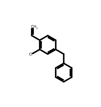 C=Cc1ccc(Cc2ccccc2)cc1Cl